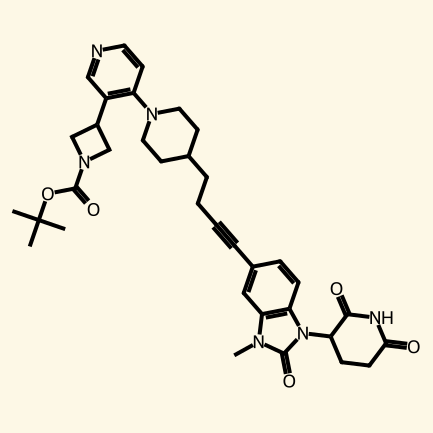 Cn1c(=O)n(C2CCC(=O)NC2=O)c2ccc(C#CCCC3CCN(c4ccncc4C4CN(C(=O)OC(C)(C)C)C4)CC3)cc21